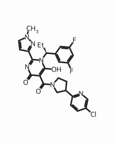 CC[C@@H](c1cc(F)cc(F)c1)n1c(-c2ccn(C)n2)nc(=O)c(C(=O)N2CCC(c3ccc(Cl)cn3)C2)c1O